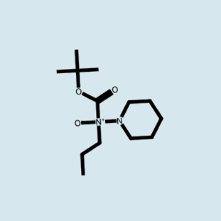 CCC[N+]([O-])(C(=O)OC(C)(C)C)N1CCCCC1